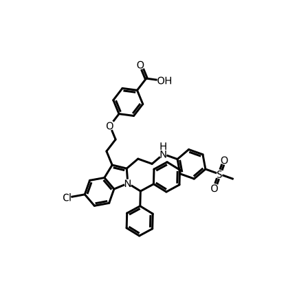 CS(=O)(=O)c1ccc(NCCc2c(CCOc3ccc(C(=O)O)cc3)c3cc(Cl)ccc3n2C(c2ccccc2)c2ccccc2)cc1